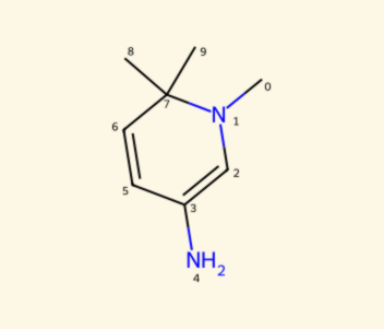 CN1C=C(N)C=CC1(C)C